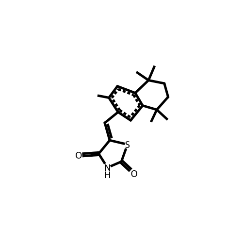 Cc1cc2c(cc1C=C1SC(=O)NC1=O)C(C)(C)CCC2(C)C